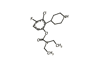 CCN(CC)C(=O)Oc1ccc(F)c(Cl)c1C1CCNCC1